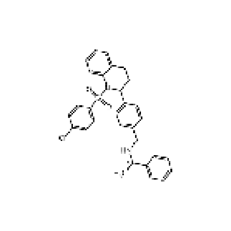 C[C@@H](NCc1ccc(C2CCc3ccccc3N2S(=O)(=O)c2ccc(Cl)cc2)cc1)c1ccccc1